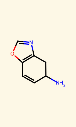 NC1C=Cc2ocnc2C1